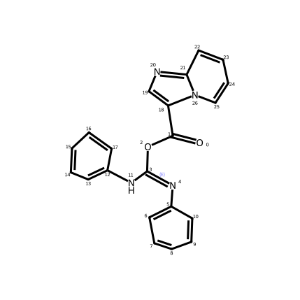 O=C(O/C(=N/c1ccccc1)Nc1ccccc1)c1cnc2ccccn12